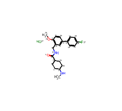 CNC1CCC(C(=O)NCc2cc(-c3ccc(F)cc3)ccc2OC)CC1.Cl